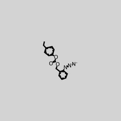 CCc1ccc(OC(=O)OCc2ccccc2N=[N+]=[N-])cc1